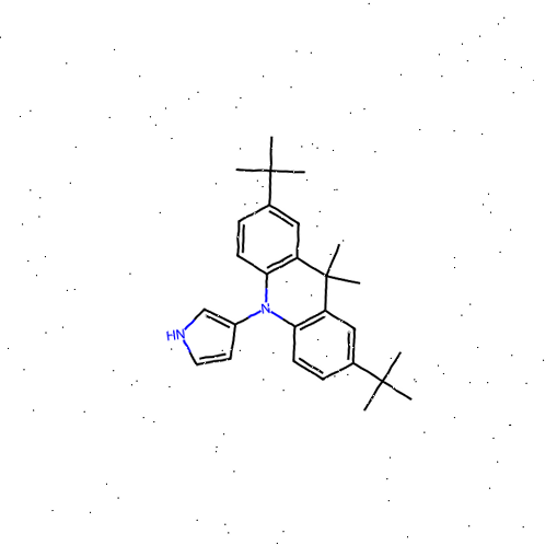 CC(C)(C)c1ccc2c(c1)C(C)(C)c1cc(C(C)(C)C)ccc1N2c1cc[nH]c1